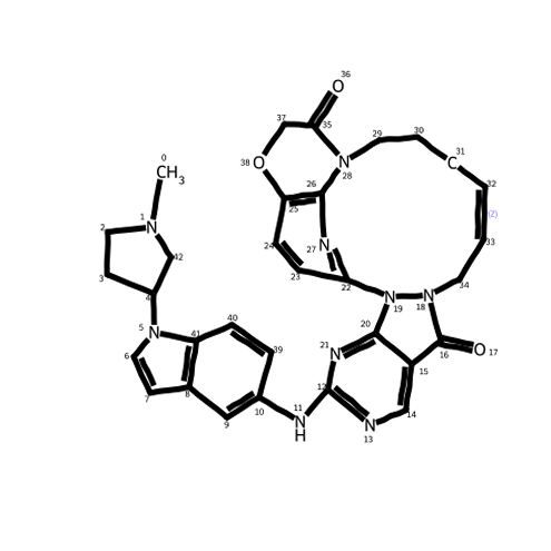 CN1CCC(n2ccc3cc(Nc4ncc5c(=O)n6n(c5n4)-c4ccc5c(n4)N(CCC/C=C\C6)C(=O)CO5)ccc32)C1